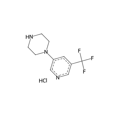 Cl.FC(F)(F)c1cncc(N2CCNCC2)c1